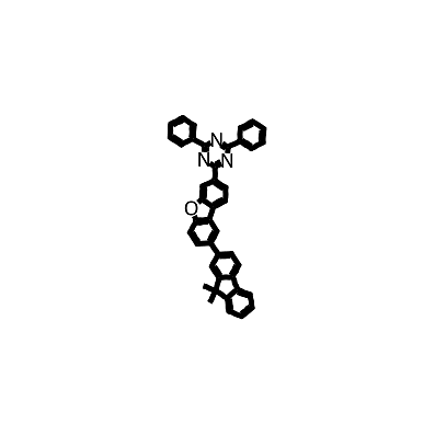 CC1(C)c2ccccc2-c2ccc(-c3ccc4oc5cc(-c6nc(-c7ccccc7)nc(-c7ccccc7)n6)ccc5c4c3)cc21